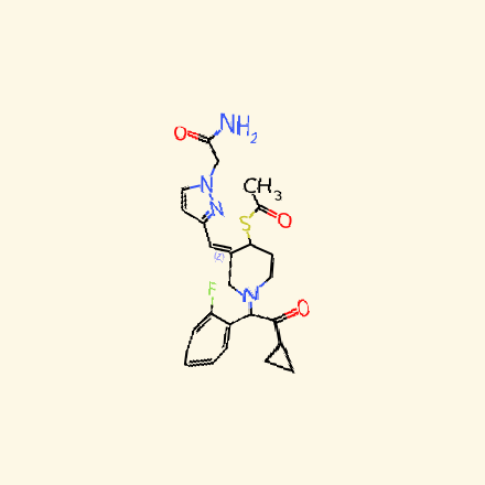 CC(=O)SC1CCN(C(C(=O)C2CC2)c2ccccc2F)C/C1=C/c1ccn(CC(N)=O)n1